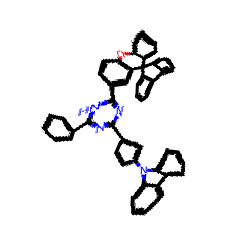 c1ccc(C2N=C(c3ccc(-n4c5ccccc5c5ccccc54)cc3)N=C(c3ccc4c(c3)C3(c5ccccc5O4)c4ccccc4-c4ccccc43)N2)cc1